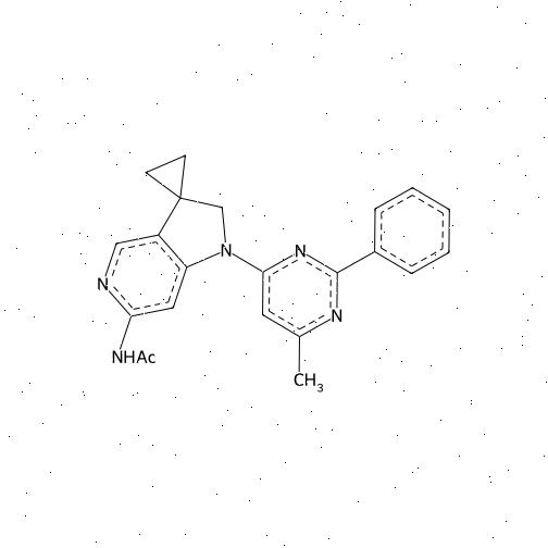 CC(=O)Nc1cc2c(cn1)C1(CC1)CN2c1cc(C)nc(-c2ccccc2)n1